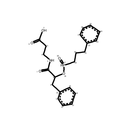 O=C(O)CCNC(=O)C(Cc1ccccc1)O[PH](=O)CCCc1ccccc1